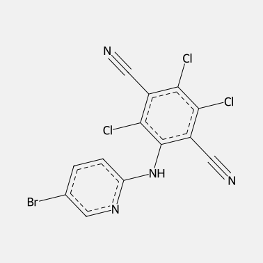 N#Cc1c(Cl)c(Cl)c(C#N)c(Nc2ccc(Br)cn2)c1Cl